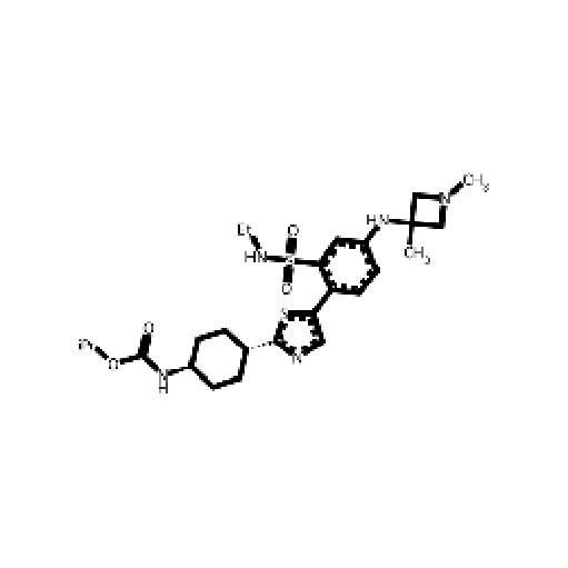 CCNS(=O)(=O)c1cc(NC2(C)CN(C)C2)ccc1-c1cnc([C@H]2CC[C@H](NC(=O)OC(C)C)CC2)s1